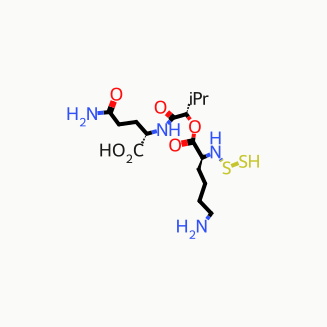 CC(C)[C@H](OC(=O)[C@H](CCCCN)NSS)C(=O)N[C@@H](CCC(N)=O)C(=O)O